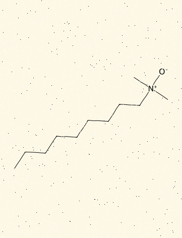 CCCCCCCCC[N+](C)(C)[O-]